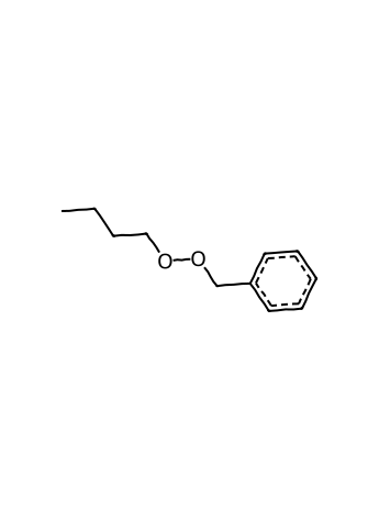 CCCCOOCc1ccccc1